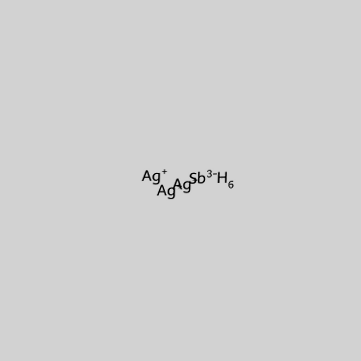 [Ag+].[Ag+].[Ag+].[SbH6-3]